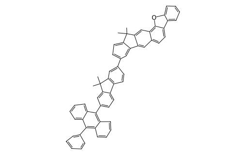 CC1(C)c2cc(-c3ccc4c(c3)-c3cc5ccc6c7ccccc7oc6c5cc3C4(C)C)ccc2-c2ccc(-c3c4ccccc4c(-c4ccccc4)c4ccccc34)cc21